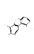 CCCCCCc1c(-c2c(OC)cccc2OC)cc(Cl)c(Cl)c1P